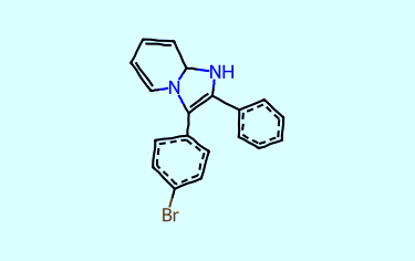 Brc1ccc(C2=C(c3ccccc3)NC3C=CC=CN23)cc1